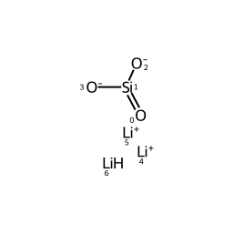 O=[Si]([O-])[O-].[Li+].[Li+].[LiH]